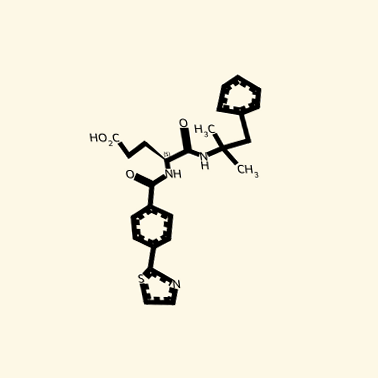 CC(C)(Cc1ccccc1)NC(=O)[C@H](CCC(=O)O)NC(=O)c1ccc(-c2nccs2)cc1